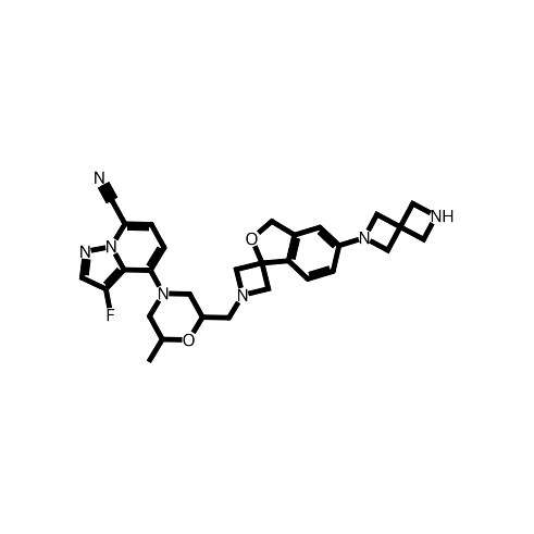 CC1CN(c2ccc(C#N)n3ncc(F)c23)CC(CN2CC3(C2)OCc2cc(N4CC5(CNC5)C4)ccc23)O1